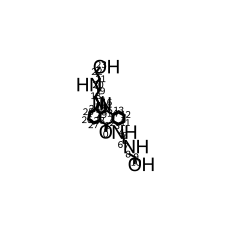 O=C1c2c(NCCNCCO)cccc2-c2nn(CCNCCO)c3cccc1c23